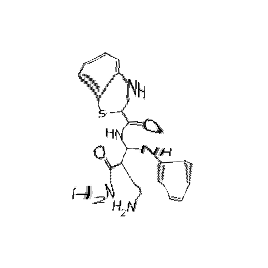 NCC(C(N)=O)C(NC(=O)C1Nc2ccccc2S1)Nc1ccccc1